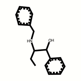 CCC(NCc1ccccc1)C(O)c1ccccc1